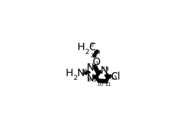 C=CCOc1nc(N)nc2ccc(Cl)nc12